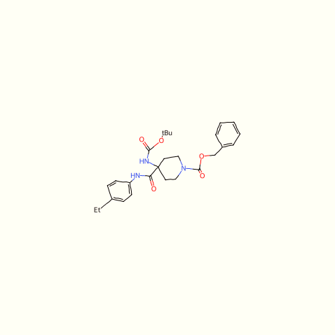 CCc1ccc(NC(=O)C2(NC(=O)OC(C)(C)C)CCN(C(=O)OCc3ccccc3)CC2)cc1